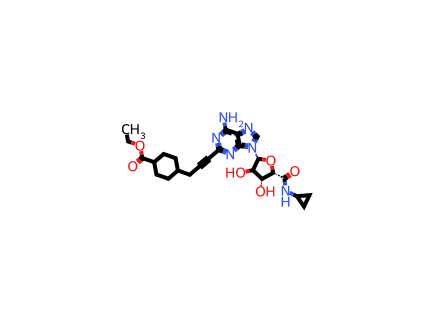 CCOC(=O)C1CCC(CC#Cc2nc(N)c3ncn([C@@H]4O[C@H](C(=O)NC5CC5)[C@H](O)C4O)c3n2)CC1